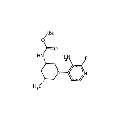 C[C@@H]1C[C@H](NC(=O)OC(C)(C)C)CN(c2ccnc(F)c2N)C1